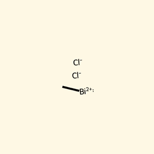 [CH3][Bi+2].[Cl-].[Cl-]